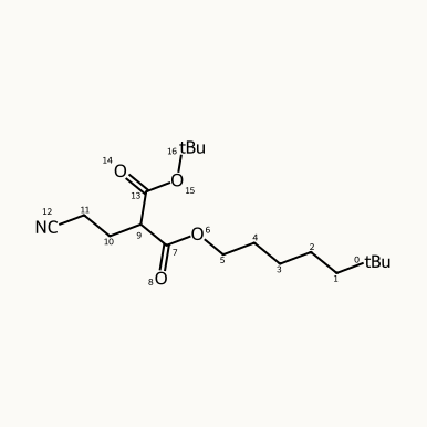 CC(C)(C)CCCCCOC(=O)C(CCC#N)C(=O)OC(C)(C)C